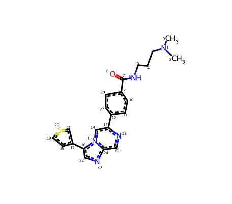 CN(C)CCCNC(=O)c1ccc(-c2cn3c(-c4ccsc4)cnc3cn2)cc1